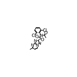 CC(=O)N(c1c(Cl)cccc1Cl)S(=O)(=O)c1nc2nc(C)ccn2n1